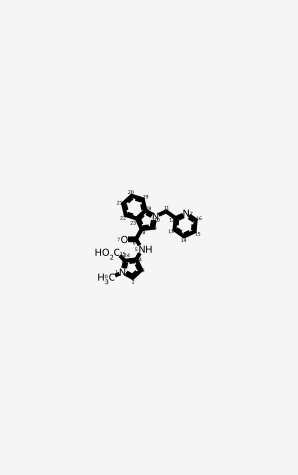 Cn1ccc(NC(=O)c2cn(Cc3ccccn3)c3ccccc23)c1C(=O)O